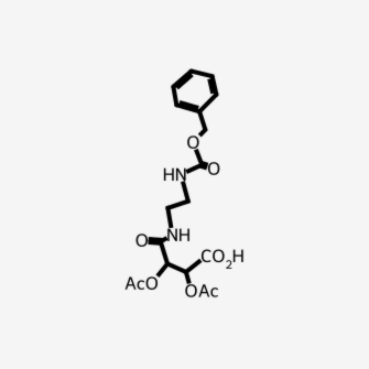 CC(=O)OC(C(=O)O)C(OC(C)=O)C(=O)NCCNC(=O)OCc1ccccc1